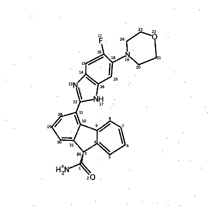 NC(=O)[C@@H]1c2ccccc2-c2c(-c3nc4cc(F)c(N5CCOCC5)cc4[nH]3)cccc21